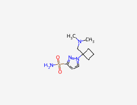 CN(C)CC1(n2ccc(S(N)(=O)=O)n2)CCC1